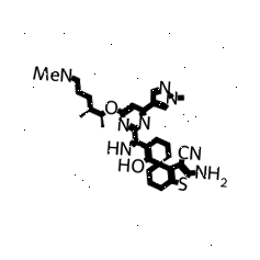 CNCCC[C@H](C)[C@H](C)Oc1cc(-c2cnn(C)c2)nc(C(=N)C2=C(O)[C@@]3(CCC2)CCCc2sc(N)c(C#N)c23)n1